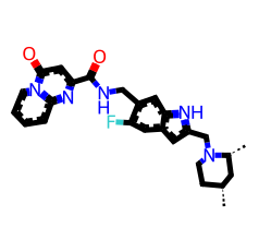 C[C@@H]1CCN(Cc2cc3cc(F)c(CNC(=O)c4cc(=O)n5ccccc5n4)cc3[nH]2)[C@H](C)C1